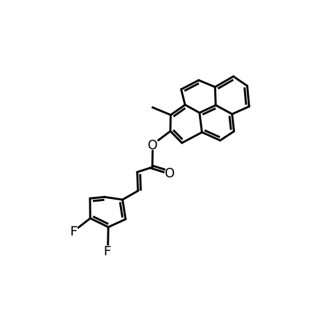 Cc1c(OC(=O)C=Cc2ccc(F)c(F)c2)cc2ccc3cccc4ccc1c2c34